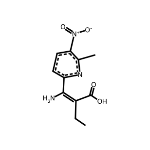 CC/C(C(=O)O)=C(\N)c1ccc([N+](=O)[O-])c(C)n1